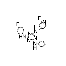 Cc1ccc(Nc2nc(NCc3ccnc(F)c3)nc(Nc3ccc(F)cc3)n2)cc1